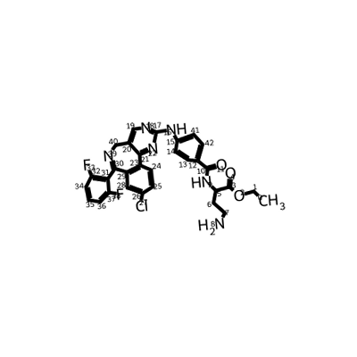 CCOC(=O)C(CCN)NC(=O)c1ccc(Nc2ncc3c(n2)-c2ccc(Cl)cc2C(c2c(F)cccc2F)=NC3)cc1